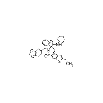 CCc1cc2c(cc3n2CC(C(=O)NC2CCCCC2)(c2ccccc2)N(Cc2ccc4c(c2)OCO4)C3=O)s1